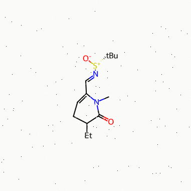 CCC1CC=C(/C=N/[S@+]([O-])C(C)(C)C)N(C)C1=O